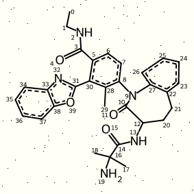 CCNC(=O)c1ccc(N2C(=O)C(NC(=O)C(C)(C)N)CCc3ccccc32)c(C)c1-c1nc2ccccc2o1